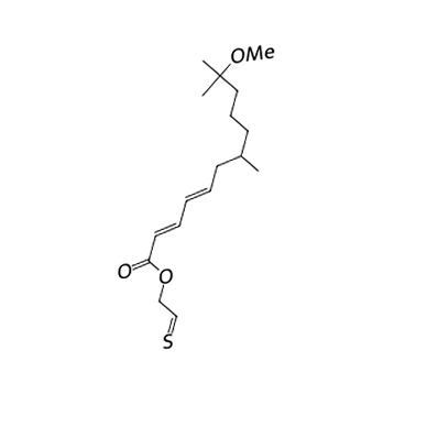 COC(C)(C)CCCC(C)CC=CC=CC(=O)OCC=S